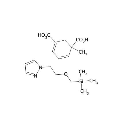 CC1(C(=O)O)C=CC=C(C(=O)O)C1.C[Si](C)(C)COCCn1cccn1